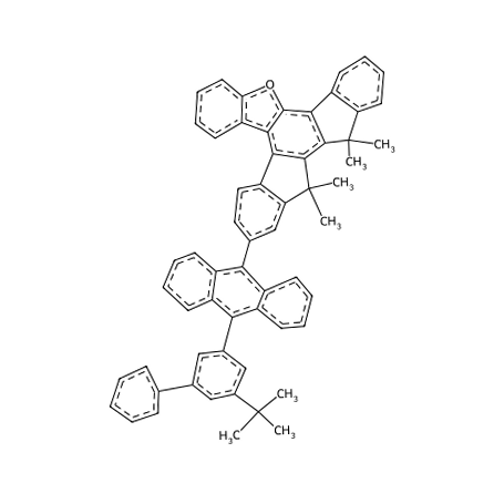 CC(C)(C)c1cc(-c2ccccc2)cc(-c2c3ccccc3c(-c3ccc4c(c3)C(C)(C)c3c5c(c6oc7ccccc7c6c3-4)-c3ccccc3C5(C)C)c3ccccc23)c1